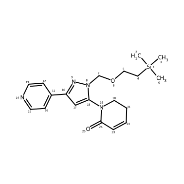 C[Si](C)(C)CCOCn1nc(-c2ccncc2)cc1N1CCC=CC1=O